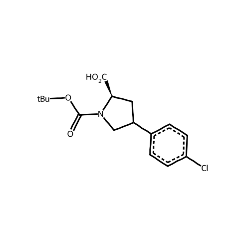 CC(C)(C)OC(=O)N1CC(c2ccc(Cl)cc2)C[C@@H]1C(=O)O